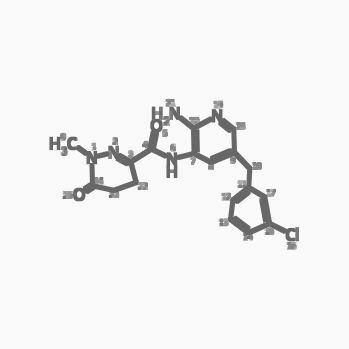 CN1N=C(C(=O)Nc2cc(Cc3cccc(Cl)c3)cnc2N)CCC1=O